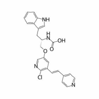 O=C(O)N[C@H](COc1cnc(Cl)c(C=Cc2ccncc2)c1)Cc1c[nH]c2ccccc12